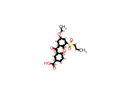 CCCS(=O)(=O)c1cc(OCC)cc2c(=O)c3cc(C(=O)O)ccc3oc12